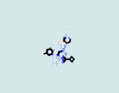 Cc1cc(F)cc(Nc2cc(NC[C@H]3CCNC[C@@H]3O)nc3c(C4CCC4)cnn23)c1